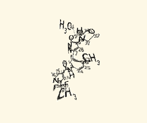 CC[C@H]1Oc2nnc(-c3cc(NC(=O)c4ccnc(C(C)(F)F)c4)ccc3C)cc2N2CCOC[C@H]12